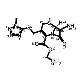 Cn1nnnc1SCC1=C(C(=O)OCC(Cl)(Cl)Cl)N2C(=O)C(N)[C@@H]2SC1